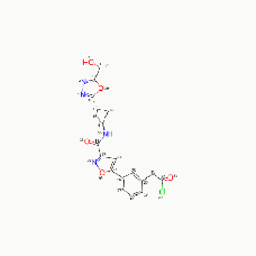 C[C@@H](O)c1nnc([C@H]2C[C@H](NC(=O)c3cc(-c4cccc(CC(=O)Cl)c4)on3)C2)o1